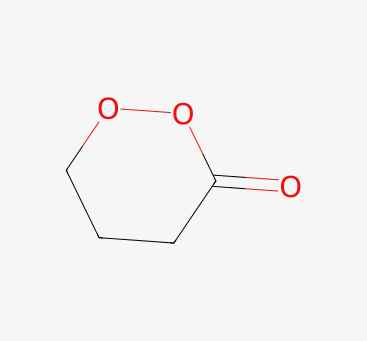 O=C1CCCOO1